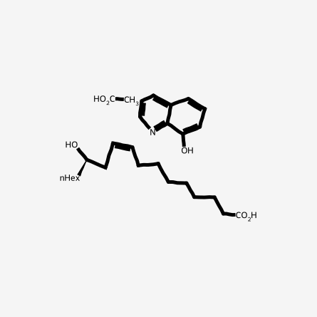 CC(=O)O.CCCCCC[C@@H](O)C/C=C\CCCCCCCC(=O)O.Oc1cccc2cccnc12